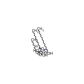 CCCCCCCCCCCCC/C(=C/C(=O)O)C(=O)O.CCCCCCCCCCCCC/C(=C/C(=O)O)C(=O)O.CCC[CH2][Sn][CH2]CCC